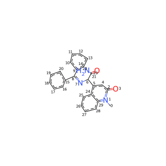 Cn1c(=O)cc(C(N=C(c2ccccc2)c2ccccc2)C(N)=O)c2ccccc21